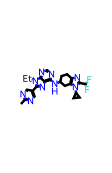 CCn1c(-c2cnc(C)nc2)nc2c(NC3CCc4nc(C(F)F)n(C5CC5)c4C3)ncnc21